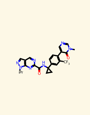 CC(C)n1ncc2cnc(C(=O)NC3(c4ccc(-c5cncn(C)c5=O)c(C(F)(F)F)c4)CC3)nc21